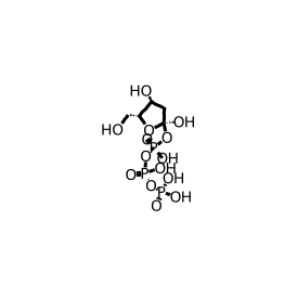 O=P(O)(O)OP(=O)(O)OP(=O)(O)O[C@]1(O)C[C@H](O)[C@@H](CO)O1